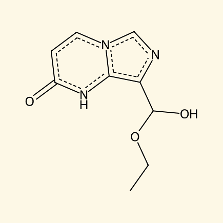 CCOC(O)c1ncn2ccc(=O)[nH]c12